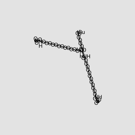 CC(C)(C)OC(=O)CCOCCOCCOCCOCCNC(=O)[C@H](CCCCNC(=O)CCOCCOCCOCCOCCOCCOCCOCCOCCOCCOCCOCCOCCNC(=O)CCN1C(=O)C=CC1=O)NC(=O)CCOCCOCCOCCOCCOCCOCCOCCOCCOCCOCCOCCOCCNC(=O)CCN1C(=O)C=CC1=O